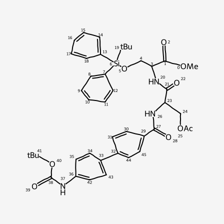 COC(=O)C(CO[Si](c1ccccc1)(c1ccccc1)C(C)(C)C)NC(=O)C(COC(C)=O)NC(=O)c1ccc(-c2ccc(NC(=O)OC(C)(C)C)cc2)cc1